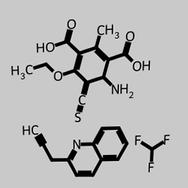 C#CCc1ccc2ccccc2n1.CCOC1=C(C(=O)O)C(C)=C(C(=O)O)C(N)C1=C=S.FC(F)F